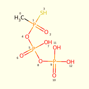 CP(=O)(S)OP(=O)(O)OP(=O)(O)O